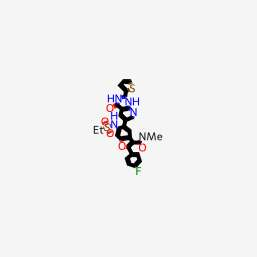 CCS(=O)(=O)Nc1cc2oc(-c3ccc(F)cc3)c(C(=O)NC)c2cc1-c1cnc2c(c1)C(=O)NC(c1cccs1)N2